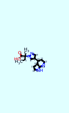 CCC(C)(C(=O)O)n1cc(-c2ccnc3[nH]ccc23)cn1